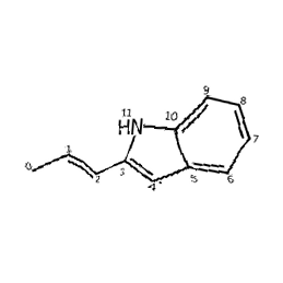 CC=Cc1[c]c2ccccc2[nH]1